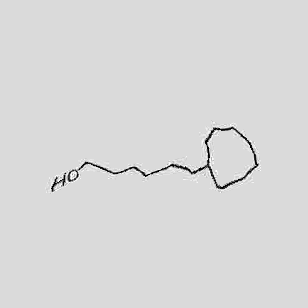 OCCCCCCC1CCCCCCC1